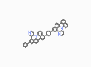 c1ccc(-c2cc3c4c5c(ccc4c2)-c2ccc(-c4ccc(-c6cc7c8c9c(ccc8c6)-c6cccc8cccc(c68)N9c6cccnc6-7)cc4)c4cccc(c24)N5c2ccncc2-3)cc1